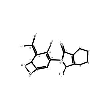 O=C1C2=C(CCCC2)C(O)N1C1=C(F)C(=C(F)F)C2OOC2=C1